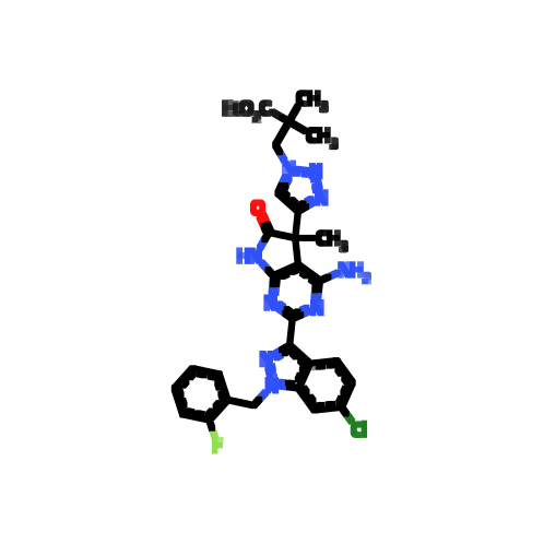 CCOC(=O)C(C)(C)Cn1cc(C2(C)C(=O)Nc3nc(-c4nn(Cc5ccccc5F)c5cc(Cl)ccc45)nc(N)c32)nn1